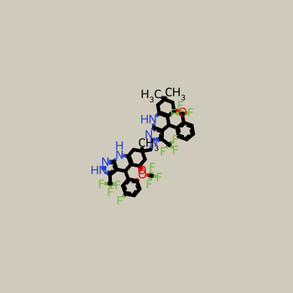 CC1(C)CC(=O)C2=C(C1)Nc1nn(CC3(C)CC(=O)C4=C(C3)Nc3n[nH]c(C(F)(F)F)c3C4c3cc(F)ccc3OC(F)(F)F)c(C(F)(F)F)c1C2c1ccccc1C(F)(F)F